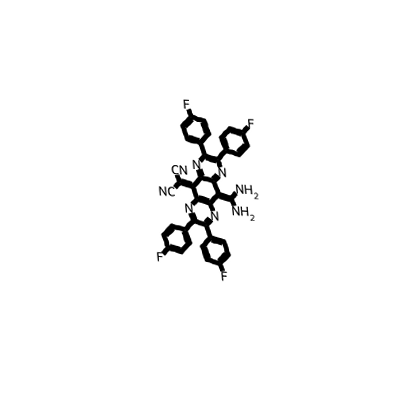 N#CC(C#N)=c1c2nc(-c3ccc(F)cc3)c(-c3ccc(F)cc3)nc2c(=C(N)N)c2nc(-c3ccc(F)cc3)c(-c3ccc(F)cc3)nc12